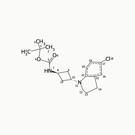 CC(C)(C)OC(=O)N[C@H]1C[C@H](N2CCCc3cc(Cl)ccc32)C1